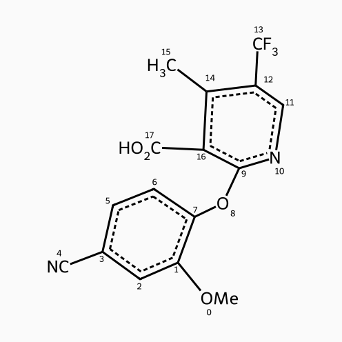 COc1cc(C#N)ccc1Oc1ncc(C(F)(F)F)c(C)c1C(=O)O